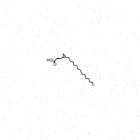 CCCCCCCCCCCCCCC1CC1C=CC(=O)O